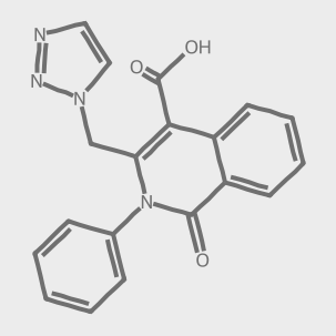 O=C(O)c1c(Cn2ccnn2)n(-c2ccccc2)c(=O)c2ccccc12